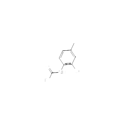 CCC(=O)Nc1ccc(C)cc1CC